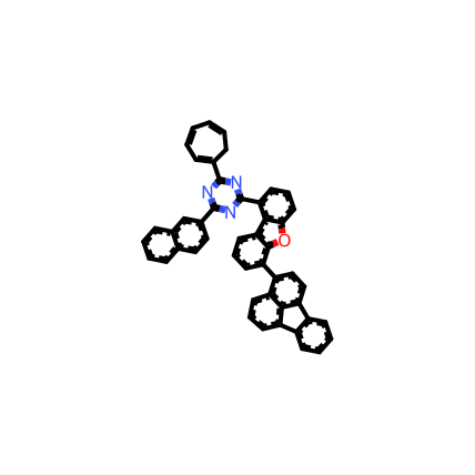 C1=CC=C(c2nc(-c3ccc4ccccc4c3)nc(-c3cccc4oc5c(-c6ccc7c8c(cccc68)-c6ccccc6-7)cccc5c34)n2)CC=C1